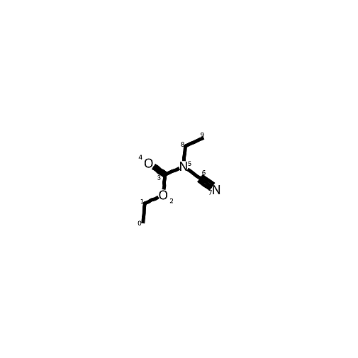 CCOC(=O)N(C#N)CC